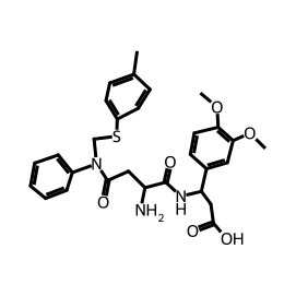 COc1ccc(C(CC(=O)O)NC(=O)C(N)CC(=O)N(CSc2ccc(C)cc2)c2ccccc2)cc1OC